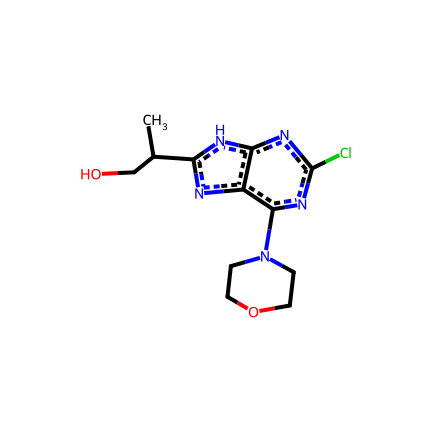 CC(CO)c1nc2c(N3CCOCC3)nc(Cl)nc2[nH]1